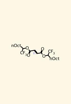 CCCCCCCCC(OC(=O)/C=C/C(=O)OC(CCCCCCCC)C(F)(F)F)C(F)(F)F